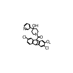 COc1cc2c(cc1Cl)C1CC2(C(=O)N2CCC(O)(c3cccnc3)CC2)c2cc(Cl)ccc21